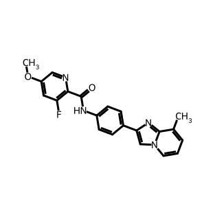 COc1cnc(C(=O)Nc2ccc(-c3cn4cccc(C)c4n3)cc2)c(F)c1